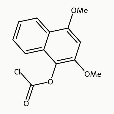 COc1cc(OC)c2ccccc2c1OC(=O)Cl